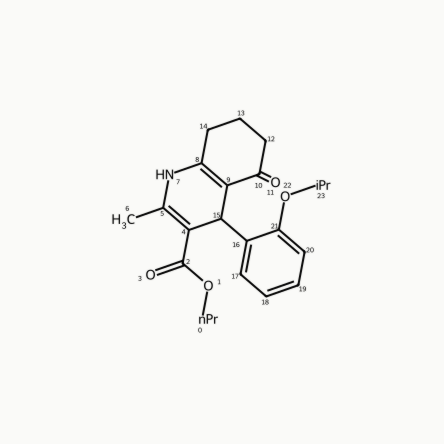 CCCOC(=O)C1=C(C)NC2=C(C(=O)CCC2)C1c1ccccc1OC(C)C